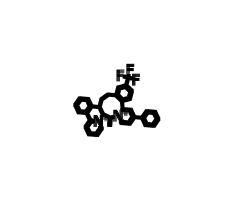 C=C1C2C(CCc3cc(C(F)(F)F)ccc3-c3cc(-c4ccccc4)cc[n+]31)c1ccccc1-c1cccc[n+]12